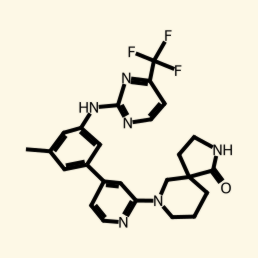 Cc1cc(Nc2nccc(C(F)(F)F)n2)cc(-c2ccnc(N3CCCC4(CCNC4=O)C3)c2)c1